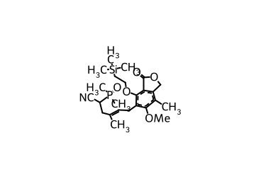 COc1c(C)c2c(c(OCC[Si](C)(C)C)c1C/C=C(\C)CC(C#N)P(C)(C)=O)C(=O)OC2